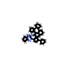 c1ccc(-c2ccc(-c3nc4ccccc4nc3-n3c4cccc5c4c4c6c(cccc6ccc43)-c3ccccc3-5)cc2)cc1